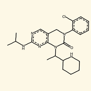 CC(C)Nc1ncc2c(n1)N(C(C)C1CCCCN1)C(=O)N(c1ccccc1Cl)C2